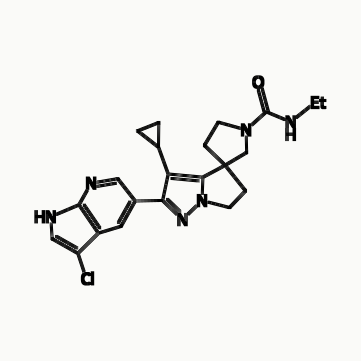 CCNC(=O)N1CCC2(CCn3nc(-c4cnc5[nH]cc(Cl)c5c4)c(C4CC4)c32)C1